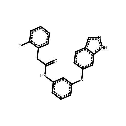 O=C(Cc1ccccc1F)Nc1cccc(Sc2ccc3cn[nH]c3c2)c1